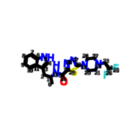 CC(Cc1c[nH]c2ccccc12)NC(=O)c1nnc(N2CCN(CC(F)F)CC2)s1